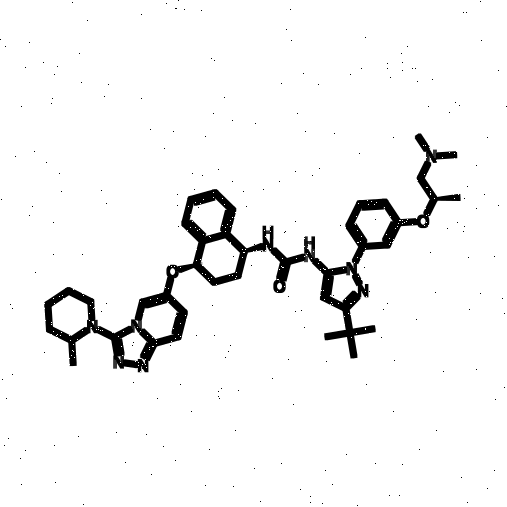 CC1CCCCN1c1nnc2ccc(O[C@@H]3CC[C@H](NC(=O)Nc4cc(C(C)(C)C)nn4-c4cccc(O[C@H](C)CN(C)C)c4)c4ccccc43)cn12